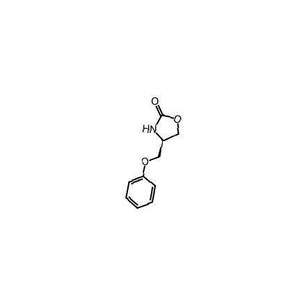 O=C1N[C@H](COc2ccccc2)CO1